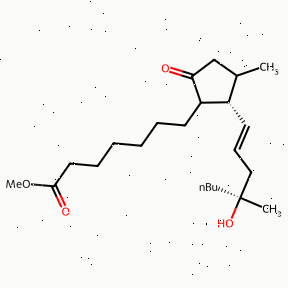 CCCC[C@](C)(O)C/C=C/[C@H]1C(C)CC(=O)C1CCCCCCC(=O)OC